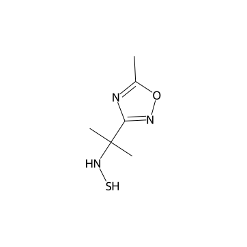 Cc1nc(C(C)(C)NS)no1